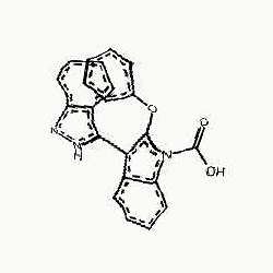 O=C(O)n1c(Oc2ccccc2)c(-c2[nH]nc3ccccc23)c2ccccc21